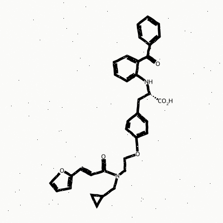 O=C(c1ccccc1)c1ccccc1N[C@@H](Cc1ccc(OCCN(CC2CC2)C(=O)/C=C/c2ccco2)cc1)C(=O)O